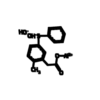 Cc1ccc(Sc2ccccc2)cc1CC(=O)[O][Al+2].[OH-].[OH-]